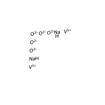 [NaH].[NaH].[O-2].[O-2].[O-2].[O-2].[O-2].[V+5].[V+5]